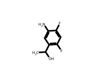 CC(O)c1cc(N)c(F)cc1F